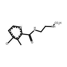 Cc1c(Cl)ccnc1C(=O)NCCNC(=O)O